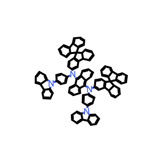 C1=CC2c3cc(N(c4ccc(-n5c6ccccc6c6ccccc65)cc4)c4c5ccccc5c(N(c5ccc(-n6c7ccccc7c7ccccc76)cc5)c5ccc6c(c5)C5C=CC=CC5C65c6ccccc6-c6ccccc65)c5ccccc45)ccc3C3(c4ccccc4-c4ccccc43)C2C=C1